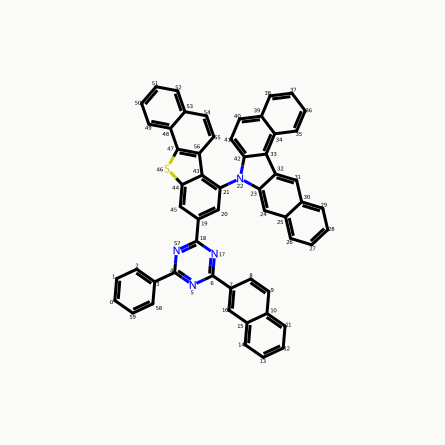 c1ccc(-c2nc(-c3ccc4ccccc4c3)nc(-c3cc(-n4c5cc6ccccc6cc5c5c6ccccc6ccc54)c4c(c3)sc3c5ccccc5ccc34)n2)cc1